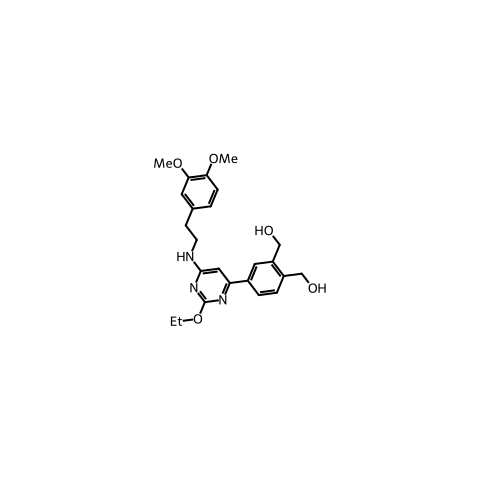 CCOc1nc(NCCc2ccc(OC)c(OC)c2)cc(-c2ccc(CO)c(CO)c2)n1